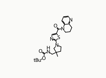 CC1(CNC(=O)OC(C)(C)C)CCN(c2ncc(C(=O)N3CCCc4ncccc43)s2)C1